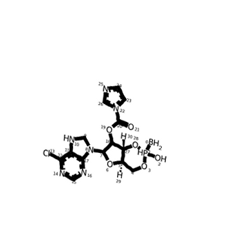 B[PH]1(O)OC[C@H]2OC(N3CNc4c(Cl)ncnc43)C(OC(=O)n3ccnc3)[C@@H]2O1